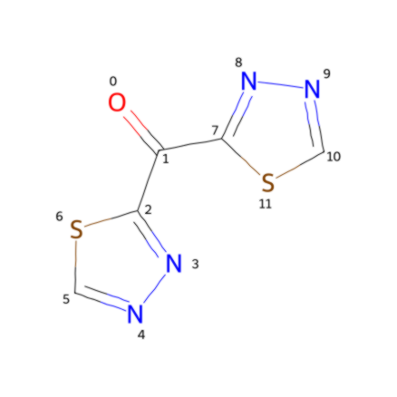 O=C(c1nncs1)c1nncs1